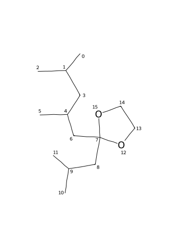 CC(C)CC(C)CC1(CC(C)C)OCCO1